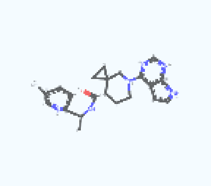 C[C@H](NC(=O)[C@H]1CCN(c2ncnc3[nH]ccc23)CC12CC2)c1ccc(C#N)cn1